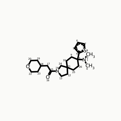 CN(C)C1(c2cccs2)CCC2(CCN(C(=O)CC3CCOCC3)C2)CC1